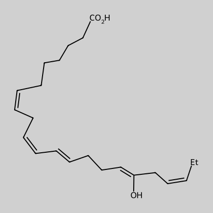 CC/C=C\C/C(O)=C/CC/C=C/C=C\C/C=C\CCCCCC(=O)O